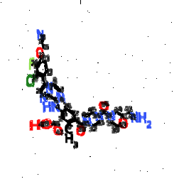 Cc1cc(Nc2nccn3c(-c4ccc(OCC#N)c(F)c4Cl)cnc23)ccc1C(=O)N1CCN(C(=O)N2CCO[C@@H](CN)C2)CC1.O=CO